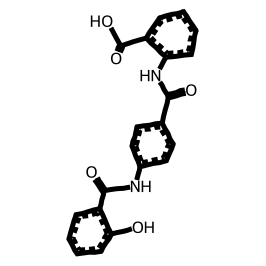 O=C(Nc1ccccc1C(=O)O)c1ccc(NC(=O)c2ccccc2O)cc1